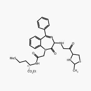 CCOC(=O)[C@H](CCSC)NC(=O)CN1C(=O)C(NCC(=O)C2CSC(C)N2)N=C(c2ccccc2)c2ccccc21